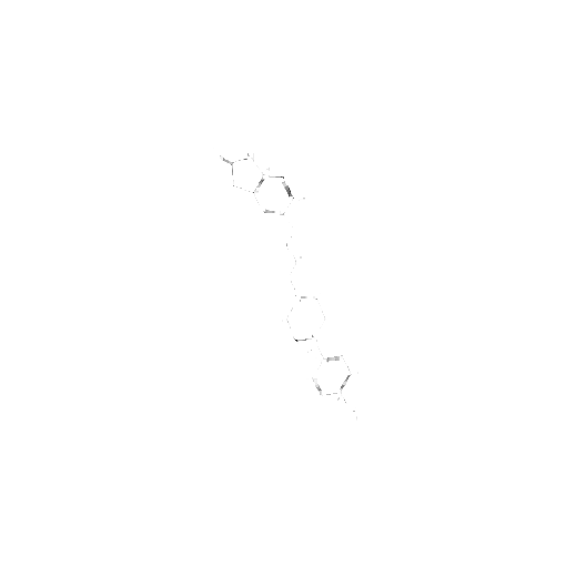 O=C1Cc2cc(OCC(O)CN3CCN(c4ccc(Br)cc4)CC3)ccc2N1